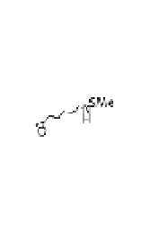 CSNCCCCCC1CO1